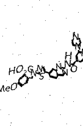 COc1ccc(CN(C(=O)O)c2ncc(-c3ccc4cnc(NC(=O)c5ccnc(N6CCN(C)CC6)c5)nc4c3)s2)cc1